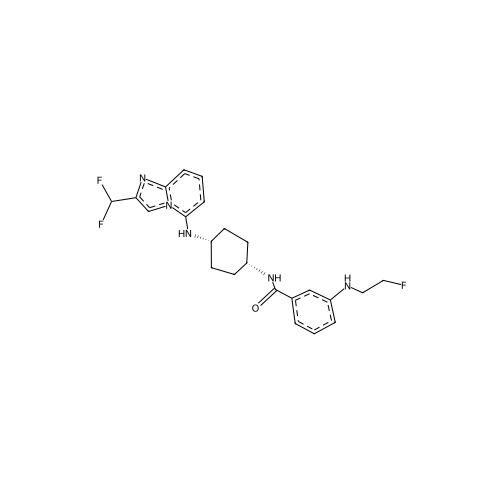 O=C(N[C@H]1CC[C@@H](Nc2cccc3nc(C(F)F)cn23)CC1)c1cccc(NCCF)c1